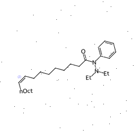 CCCCCCCC/C=C\CCCCCCCC(=O)N(c1ccccc1)N(CC)CC